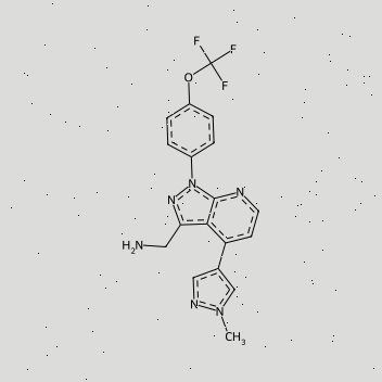 Cn1cc(-c2ccnc3c2c(CN)nn3-c2ccc(OC(F)(F)F)cc2)cn1